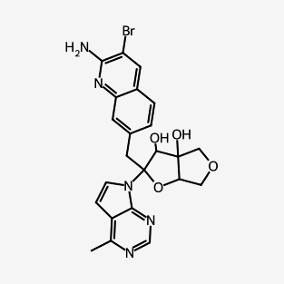 Cc1ncnc2c1ccn2C1(Cc2ccc3cc(Br)c(N)nc3c2)OC2COCC2(O)C1O